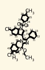 CCOC(OCC)c1nc(-c2ccccc2)c(-c2cn(S(=O)(=O)c3ccc(C)cc3)c3cc(Cl)ccc23)n1Cc1ccc(Cl)cc1